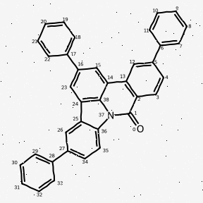 O=c1c2ccc(-c3ccccc3)cc2c2cc(-c3ccccc3)cc3c4cc(-c5ccccc5)ccc4n1c23